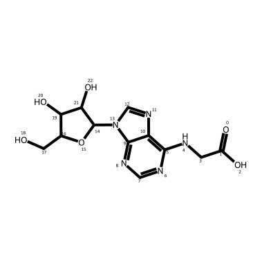 O=C(O)CNc1ncnc2c1ncn2C1OC(CO)C(O)C1O